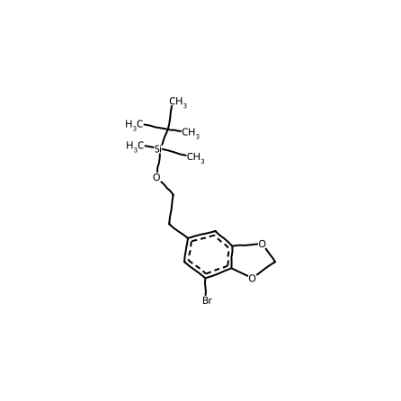 CC(C)(C)[Si](C)(C)OCCc1cc(Br)c2c(c1)OCO2